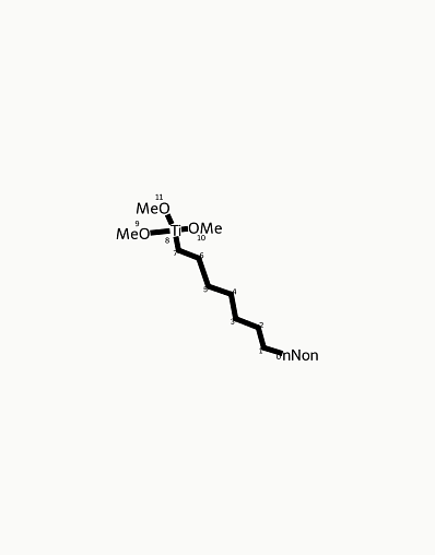 CCCCCCCCCCCCCCC[CH2][Ti]([O]C)([O]C)[O]C